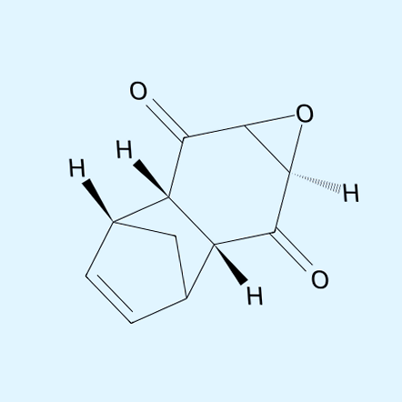 O=C1C2O[C@H]2C(=O)[C@@H]2C3C=C[C@@H](C3)[C@H]12